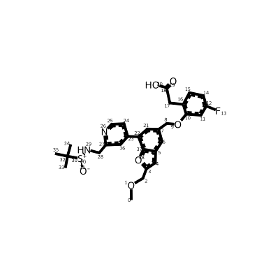 COCc1cc2cc(COc3cc(F)ccc3CC(=O)O)cc(-c3ccnc(CN[S@@+]([O-])C(C)(C)C)c3)c2o1